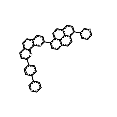 c1cncc(-c2ccc(-c3ccc4ccc5ccc(-c6ccc7ccc8c(-c9cccnc9)ccc9ccc6c7c98)nc5c4n3)cc2)c1